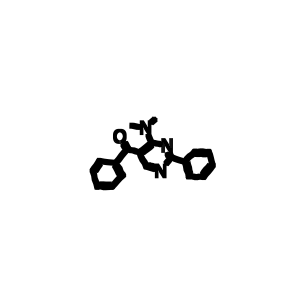 CN(C)c1nc(-c2ccccc2)ncc1C(=O)c1ccccc1